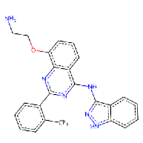 NCCOc1cccc2c(Nc3n[nH]c4ccccc34)nc(-c3ccccc3C(F)(F)F)nc12